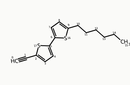 C#Cc1ccc(-c2ccc(CCCCCC)s2)s1